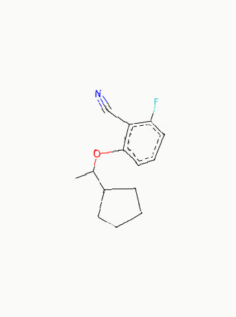 CC(Oc1cccc(F)c1C#N)C1CCCC1